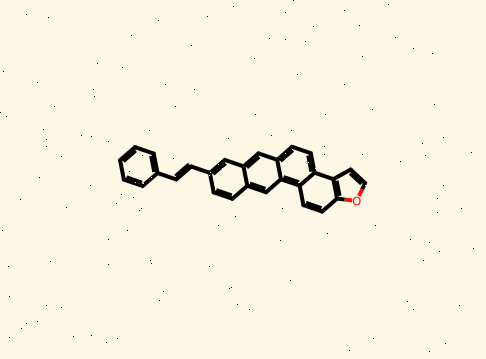 C(=C\c1ccc2cc3c(ccc4c5ccoc5ccc34)cc2c1)/c1ccccc1